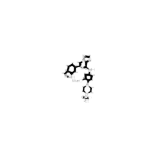 CCS(=O)(=O)N1CCN(c2ccc(Nc3nc(-c4ccc5cn[nH]c5c4)cn4ncnc34)cc2OC)CC1